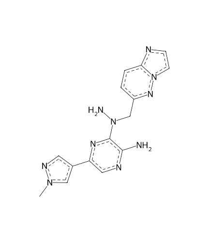 Cn1cc(-c2cnc(N)c(N(N)Cc3ccc4nccn4n3)n2)cn1